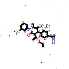 C=CCOC(=C)C1C(=O)N(c2cccc(C(F)(F)F)c2)C(C)=C(C(=O)OCC)C1c1ccc(C2CN2)cc1